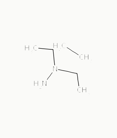 CCN(N)CC.[CH2]C